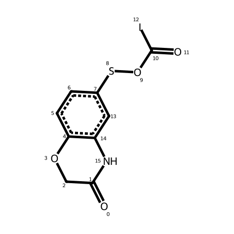 O=C1COc2ccc(SOC(=O)I)cc2N1